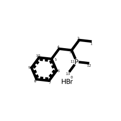 Br.CCC(Cc1ccccc1)P(C)C